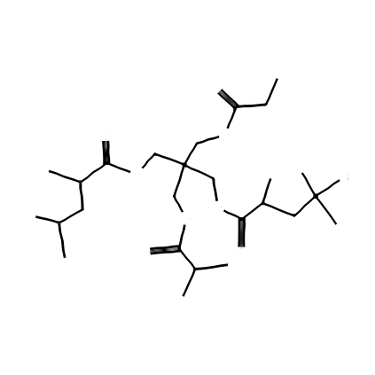 CCC(=O)OCC(COC(=O)C(C)C)(COC(=O)C(C)CC(C)S)COC(=O)C(C)CC(C)(C)S